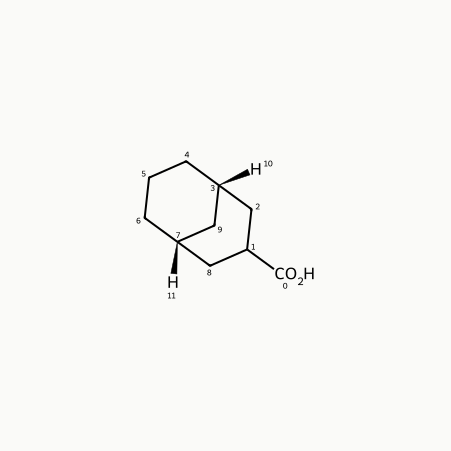 O=C(O)C1C[C@H]2CCC[C@@H](C1)C2